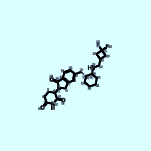 O=C1CCC(N2Cc3cc(C[C@H]4CCCC[C@@H]4NCC4CC(F)(F)C4)ccc3C2=O)C(=O)N1